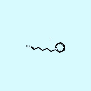 C=CCCCC[n+]1ccccc1.[I-]